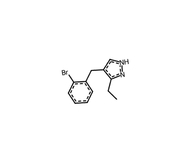 CCc1n[nH]cc1Cc1ccccc1Br